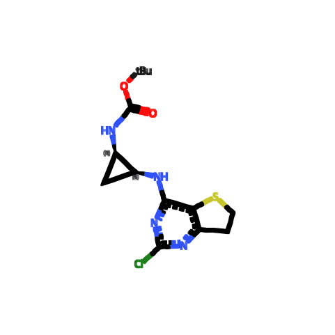 CC(C)(C)OC(=O)N[C@@H]1C[C@@H]1Nc1nc(Cl)nc2c1SCC2